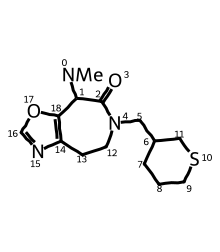 CNC1C(=O)N(CC2CCCSC2)CCc2ncoc21